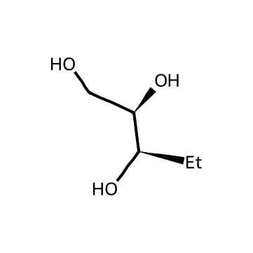 CC[C@@H](O)[C@H](O)CO